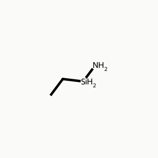 CC[SiH2]N